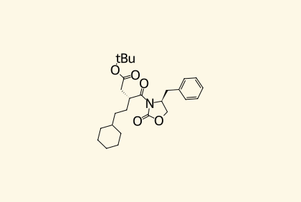 CC(C)(C)OC(=O)C[C@@H](CCC1CCCCC1)C(=O)N1C(=O)OC[C@@H]1Cc1ccccc1